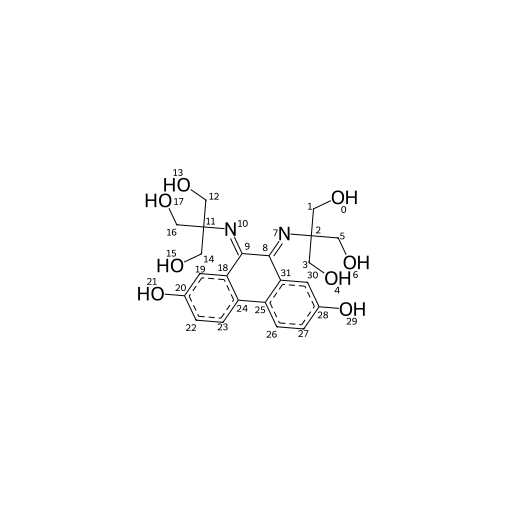 OCC(CO)(CO)N=C1/C(=N/C(CO)(CO)CO)c2cc(O)ccc2-c2ccc(O)cc21